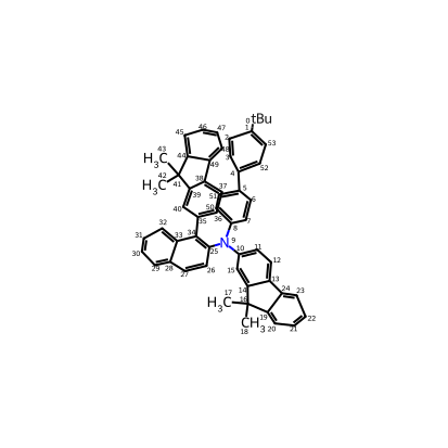 CC(C)(C)c1ccc(-c2ccc(N(c3ccc4c(c3)C(C)(C)c3ccccc3-4)c3ccc4ccccc4c3-c3ccc4c(c3)C(C)(C)c3ccccc3-4)cc2)cc1